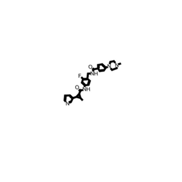 CC1C(C(=O)Nc2ccc(CNC(=O)c3ccc(N4CCN(C)CC4)cc3)c(F)c2)C1c1cccnc1